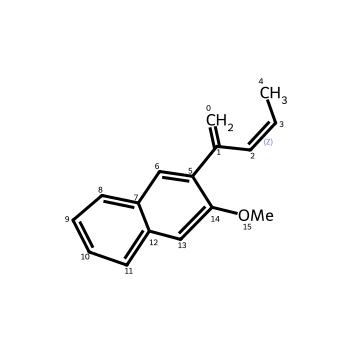 C=C(/C=C\C)c1cc2ccccc2cc1OC